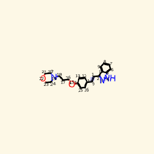 C(=C\c1n[nH]c2ccccc12)/c1ccc(OCCCN2CCOCC2)cc1